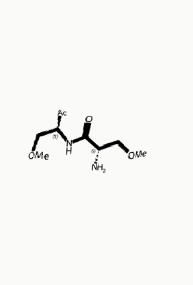 COC[C@H](NC(=O)[C@@H](N)COC)C(C)=O